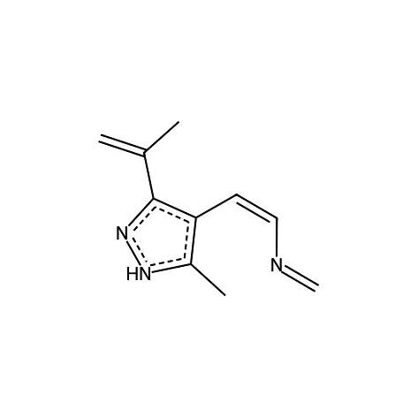 C=N/C=C\c1c(C(=C)C)n[nH]c1C